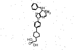 C/C=N\c1c(C(C)Nc2ccccc2)ncn1-c1ccc(C2CCC(CP(=O)(O)O)CC2)cc1